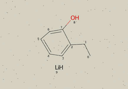 CCc1ccccc1O.[LiH]